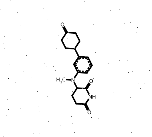 CN(c1cccc(C2CCC(=O)CC2)c1)C1CCC(=O)NC1=O